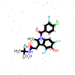 Cc1c(CC(=O)NC(C)(C)C(=O)O)c2c(F)c(O)c(F)cc2n1C(=O)c1ccc(Cl)c(F)c1